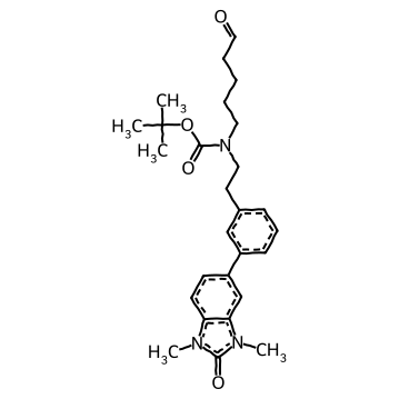 Cn1c(=O)n(C)c2cc(-c3cccc(CCN(CCCCC=O)C(=O)OC(C)(C)C)c3)ccc21